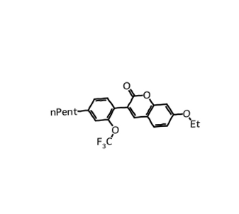 CCCCCc1ccc(-c2cc3ccc(OCC)cc3oc2=O)c(OC(F)(F)F)c1